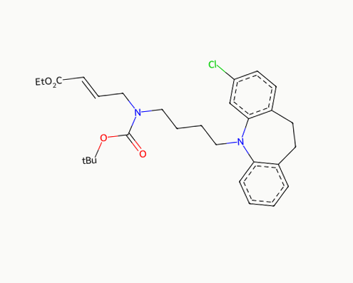 CCOC(=O)/C=C/CN(CCCCN1c2ccccc2CCc2ccc(Cl)cc21)C(=O)OC(C)(C)C